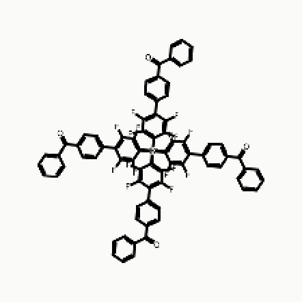 O=C(c1ccccc1)c1ccc(-c2c(F)c(F)c([B-](c3c(F)c(F)c(-c4ccc(C(=O)c5ccccc5)cc4)c(F)c3F)(c3c(F)c(F)c(-c4ccc(C(=O)c5ccccc5)cc4)c(F)c3F)c3c(F)c(F)c(-c4ccc(C(=O)c5ccccc5)cc4)c(F)c3F)c(F)c2F)cc1